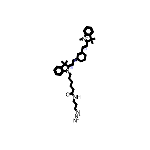 C[N+]1=C(/C=C/C2=CC(=C/C=C3/N(CCCCCC(=O)NCCCN=[N+]=[N-])c4ccccc4C3(C)C)/CCC2)C(C)(C)c2ccccc21